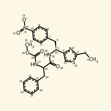 CCc1nc([C@H](Cc2ccc([N+](=O)[O-])cc2)NC(=O)C(Cc2ccccc2)NC(=O)OC)cs1